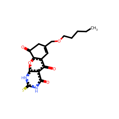 CCCCCOCC1=Cc2c(oc3[nH]c(=S)[nH]c(=O)c3c2=O)C(=O)C1